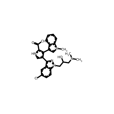 CN(C)CC(O)Cn1nc(-c2c[nH]c(C(=O)C=O)c2-c2cn(C)c3ccccc23)c2cc(Cl)ccc21